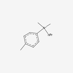 CCC[N+](C)(C)c1ccc(C)cc1